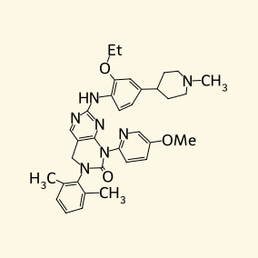 CCOc1cc(C2CCN(C)CC2)ccc1Nc1ncc2c(n1)N(c1ccc(OC)cn1)C(=O)N(c1c(C)cccc1C)C2